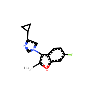 O=C(O)c1oc2cc(F)ccc2c1-n1cnc(C2CC2)c1